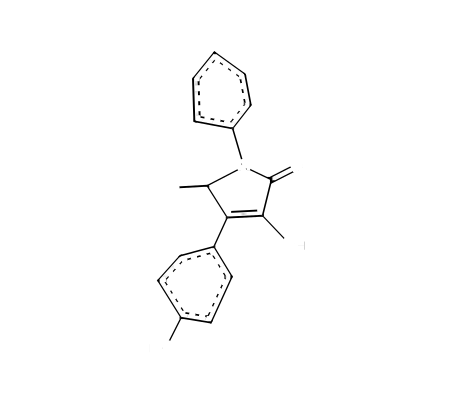 CC(C)C1C(c2ccc(C(F)(F)F)cc2)=C(O)C(=O)N1c1ccccc1